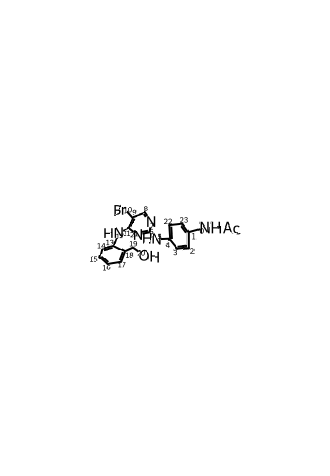 CC(=O)Nc1ccc(Nc2ncc(Br)c(Nc3ccccc3CO)n2)cc1